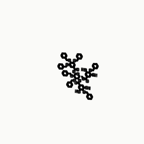 O=C(OC[C@H]1O[C@@H](OC(=O)c2cc(OCc3ccccc3)c(OCc3ccccc3)c(OCc3ccccc3)c2)[C@H](OCc2ccccc2)[C@@H](OCc2ccccc2)[C@@H]1OC(=O)c1cc(O)c(OCc2ccccc2)c(O)c1)c1cc(O)c(OCc2ccccc2)c(O)c1